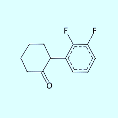 O=C1CCCCC1c1cccc(F)c1F